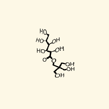 O=C(OCC(CO)(CO)CO)[C@H](O)[C@@H](O)[C@H](O)[C@H](O)CO